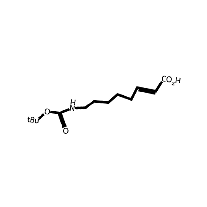 CC(C)(C)OC(=O)NCCCCC/C=C/C(=O)O